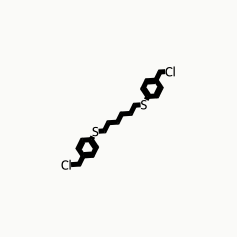 ClCc1ccc(SCCCCCCSc2ccc(CCl)cc2)cc1